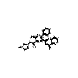 CN1CCN(CC(=O)c2nc(-c3cc(Cl)c4ncccc4c3)c(-c3ccccc3)nc2N)C1